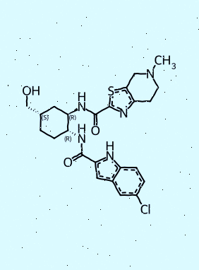 CN1CCc2nc(C(=O)N[C@@H]3C[C@@H](CO)CC[C@H]3NC(=O)c3cc4cc(Cl)ccc4[nH]3)sc2C1